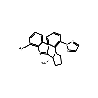 Cc1cccc2[nH]c([C@]3(C)CCCN3c3ccc[c]c3-n3nccn3)nc12